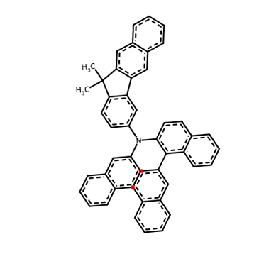 CC1(C)c2ccc(N(c3ccc4ccccc4c3)c3ccc4ccccc4c3-c3ccc4ccccc4c3)cc2-c2cc3ccccc3cc21